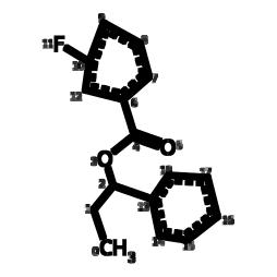 CCC(OC(=O)c1cccc(F)c1)c1ccccc1